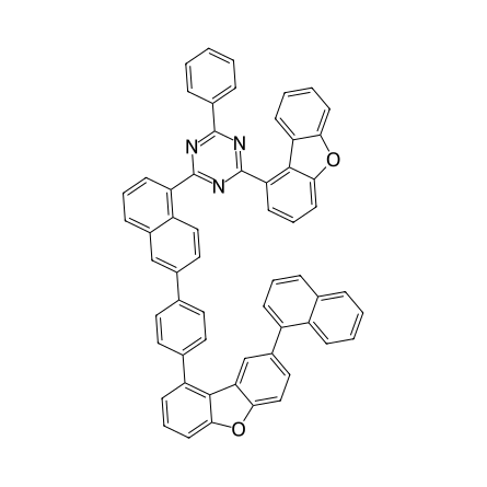 c1ccc(-c2nc(-c3cccc4cc(-c5ccc(-c6cccc7oc8ccc(-c9cccc%10ccccc9%10)cc8c67)cc5)ccc34)nc(-c3cccc4oc5ccccc5c34)n2)cc1